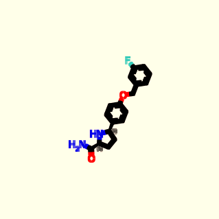 NC(=O)[C@@H]1CC[C@H](c2ccc(OCc3cccc(F)c3)cc2)N1